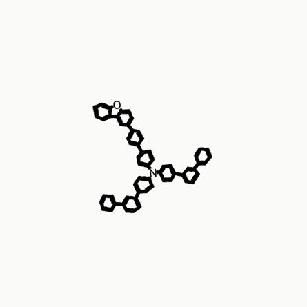 c1ccc(-c2cccc(-c3ccc(N(c4ccc(-c5ccc(-c6ccc7oc8ccccc8c7c6)cc5)cc4)c4ccc(-c5cccc(-c6ccccc6)c5)cc4)cc3)c2)cc1